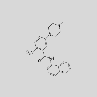 CN1CCN(c2ccc([N+](=O)[O-])c(C(=O)Nc3cccc4ccccc34)c2)CC1